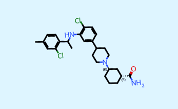 Cc1ccc(C(C)Nc2cc(C3CCN([C@@H]4CCC[C@@H](C(N)=O)C4)CC3)ccc2Cl)c(Cl)c1